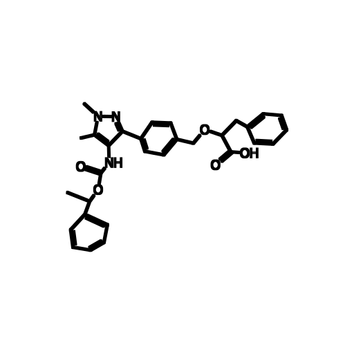 Cc1c(NC(=O)OC(C)c2ccccc2)c(-c2ccc(COC(Cc3ccccc3)C(=O)O)cc2)nn1C